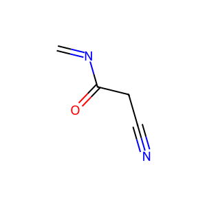 C=NC(=O)CC#N